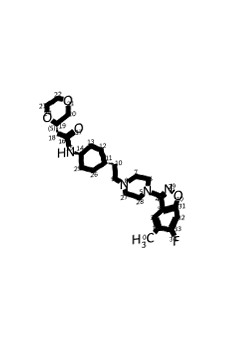 Cc1cc2c(N3CCN(CC[C@H]4CC[C@H](NC(=O)C[C@H]5COCCO5)CC4)CC3)noc2cc1F